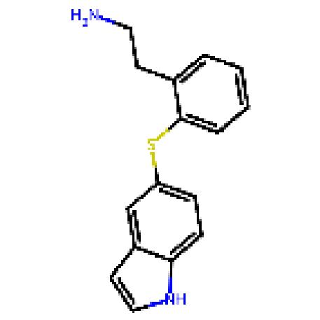 NCCc1ccccc1Sc1ccc2[nH]ccc2c1